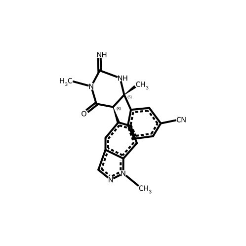 CN1C(=N)N[C@](C)(c2cccc(C#N)c2)[C@@H](c2ccc3c(cnn3C)c2)C1=O